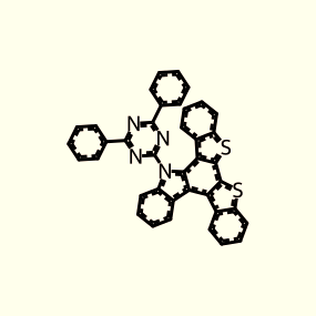 c1ccc(-c2nc(-c3ccccc3)nc(-n3c4ccccc4c4c5c6ccccc6sc5c5sc6ccccc6c5c43)n2)cc1